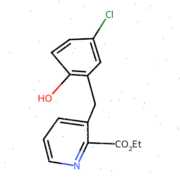 CCOC(=O)c1ncccc1Cc1cc(Cl)ccc1O